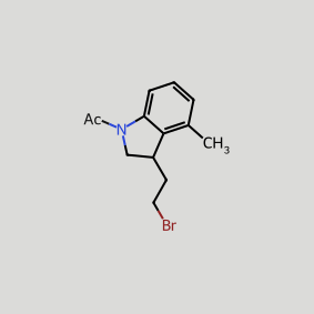 CC(=O)N1CC(CCBr)c2c(C)cccc21